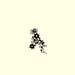 CCOC(=O)Nc1csc([C@H](Cc2ccc(NS(=O)(=O)O)cc2)NC(=O)[C@H](Cc2ccccc2)NC(=O)OC)n1